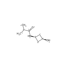 CC(C)C(=O)N[C@H]1C[C@@H](O)C1